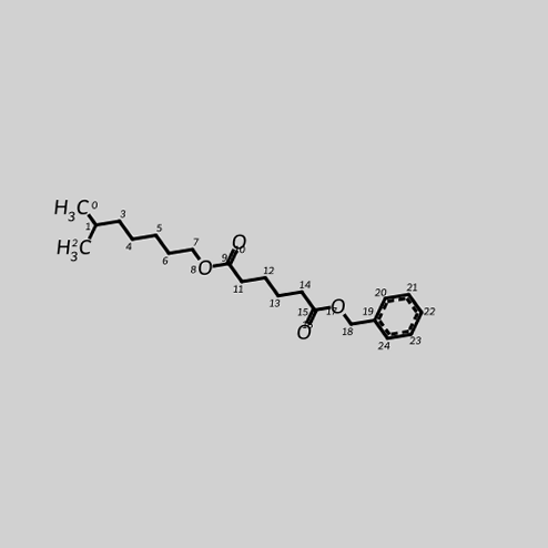 CC(C)CCCCCOC(=O)CCCCC(=O)OCc1ccccc1